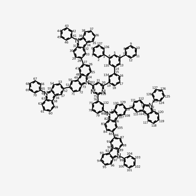 c1ccc(-c2cc(-c3ccccc3)cc(-c3cccc(-c4cc(-n5c6ccc(-c7ccc8c(c7)c7ccccc7n8-c7ccccc7)cc6c6cc(-c7ccc8c(c7)c7ccccc7n8-c7ccccc7)ccc65)nc(-c5cccc(-n6c7ccc(-c8ccc9c(c8)c8ccccc8n9-c8ccccc8)cc7c7cc(-c8ccc9c(c8)c8ccccc8n9-c8ccccc8)ccc76)c5)n4)c3)c2)cc1